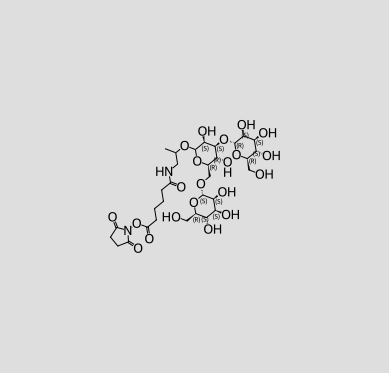 CC(CNC(=O)CCCCC(=O)ON1C(=O)CCC1=O)OC1O[C@H](CO[C@H]2O[C@H](CO)[C@@H](O)[C@H](O)[C@@H]2O)[C@@H](O)[C@H](O[C@H]2O[C@H](CO)[C@@H](O)[C@H](O)[C@@H]2O)[C@@H]1O